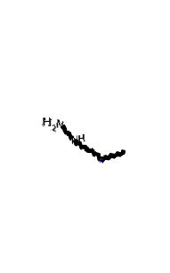 CCCCCCCC/C=C\CCCCCCCCNCC=CCN